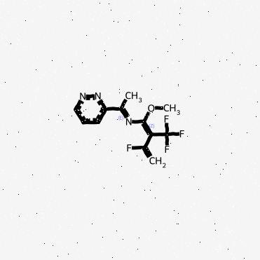 C=C(F)/C(=C(\N=C(/C)c1cccnn1)OC)C(F)(F)F